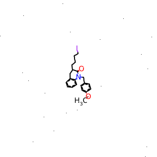 COc1ccc(CN2C(=O)C(CCCCI)Cc3ccccc32)cc1